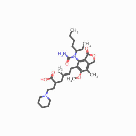 CCCCC(CC)N(C(N)=O)c1c(C/C=C(\C)CC(CCN2CCCCC2)C(=O)O)c(OC)c(C)c2c1C(=O)OC2